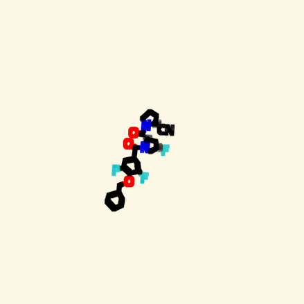 N#C[C@H]1CCCN1C(=O)[C@@H]1C[C@H](F)CN1C(=O)c1cc(F)c(OCc2ccccc2)c(F)c1